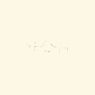 CN(C)[Si](C)(C)c1ccc([Si](C)(C)N(C)C)cc1